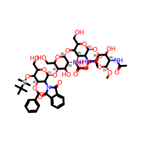 CO[C@H]1OC(CO)[C@H](O[C@@H]2OC(CO)C(O[C@H]3OC(CO)[C@H](O[C@@H]4OC(CO)C(O[Si](C)(C)C(C)(C)C)[C@H](OC(=O)c5ccccc5)C4N4C(=O)c5ccccc5C4=O)C(O)[C@H]3NC(C)=O)[C@H](O)C2NC(C)=O)C(O)[C@H]1NC(C)=O